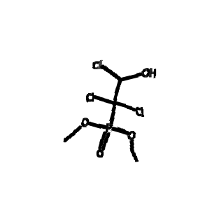 COP(=O)(OC)C(Cl)(Cl)C(O)Cl